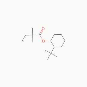 CCC(C)(C)C(=O)OC1CCCCC1C(C)(C)C